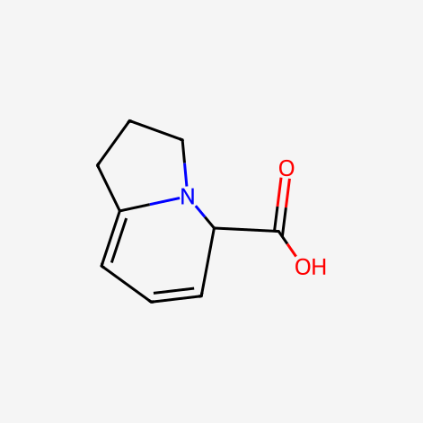 O=C(O)C1C=CC=C2CCCN21